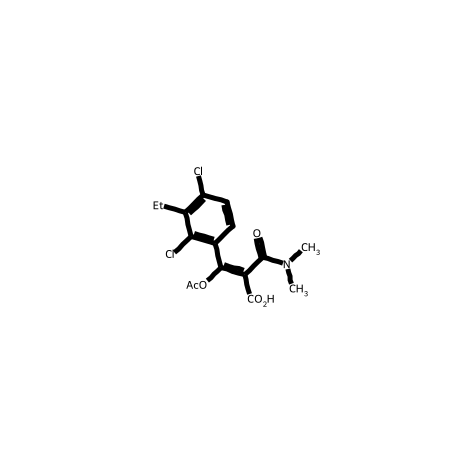 CCc1c(Cl)ccc(C(OC(C)=O)=C(C(=O)O)C(=O)N(C)C)c1Cl